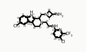 NC1CN(CC2c3[nH]c4ccc(Cl)cc4c3CCN2CCNc2ccc(Cl)c(C(F)(F)F)n2)C1